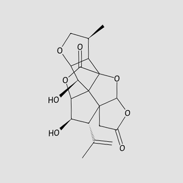 C=C(C)[C@@H]1[C@@H](O)C2OC(=O)C34OC5OC(=O)CC51C23[C@@H](O)C1OC[C@@H](C)C14